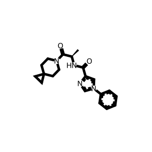 C[C@@H](NC(=O)c1cn(-c2ccccc2)cn1)C(=O)N1CCC2(CC1)CC2